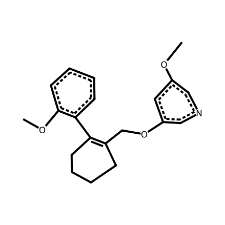 COc1cncc(OCC2=C(c3ccccc3OC)CCCC2)c1